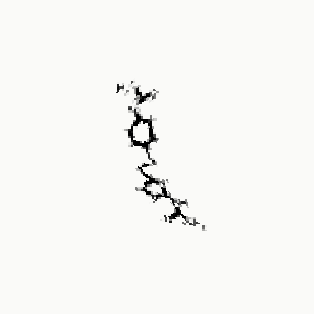 CC(=O)Nc1nc(COc2ccc(OC(C)=O)cc2)cs1